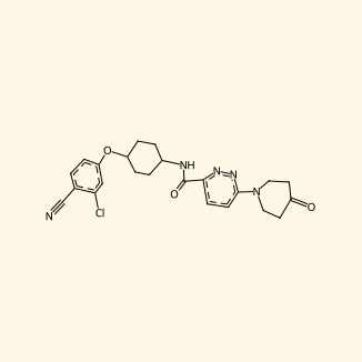 N#Cc1ccc(OC2CCC(NC(=O)c3ccc(N4CCC(=O)CC4)nn3)CC2)cc1Cl